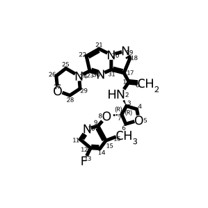 C=C(N[C@@H]1COC[C@@H]1Oc1ncc(F)cc1C)c1cnn2ccc(N3CCOCC3)nc12